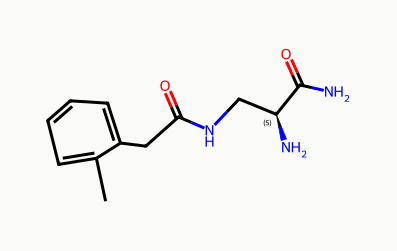 Cc1ccccc1CC(=O)NC[C@H](N)C(N)=O